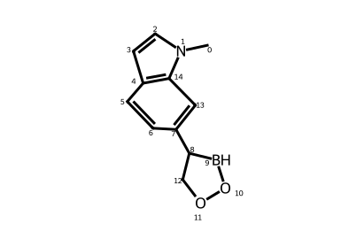 Cn1ccc2ccc(C3BOOC3)cc21